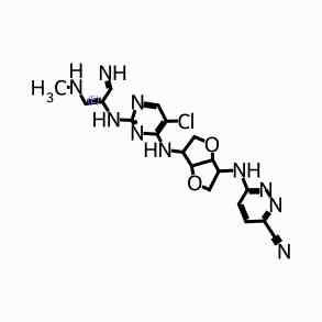 CN/C=C(\C=N)Nc1ncc(Cl)c(NC2COC3C(Nc4ccc(C#N)nn4)COC23)n1